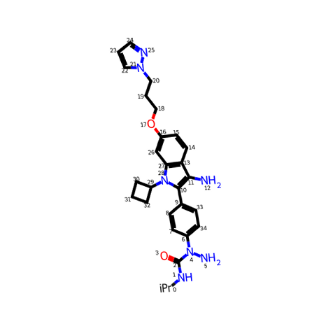 CC(C)NC(=O)N(N)c1ccc(-c2c(N)c3ccc(OCCCn4cccn4)cc3n2C2CCC2)cc1